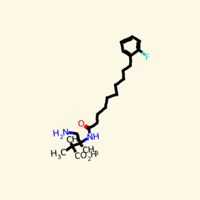 CC(CN)(NC(=O)CCCCCCCCCc1ccccc1F)C(C)(C)C(=O)O